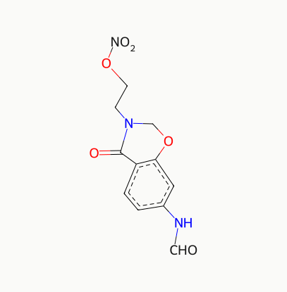 O=CNc1ccc2c(c1)OCN(CCO[N+](=O)[O-])C2=O